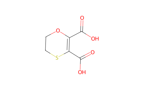 O=C(O)C1=C(C(=O)O)SCCO1